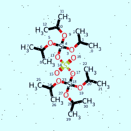 CC(C)O[Si](OC(C)C)(OC(C)C)OS(=O)(=O)O[Si](OC(C)C)(OC(C)C)OC(C)C